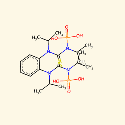 CC(C)N(C(=S)N(C(C)C)P(=O)(O)O)c1ccccc1N(C(=S)N(C(C)C)P(=O)(O)O)C(C)C